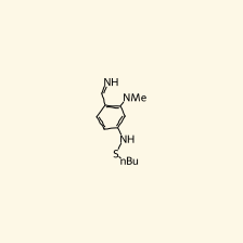 CCCCSNc1ccc(C=N)c(NC)c1